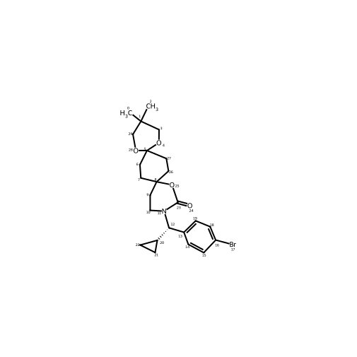 CC1(C)COC2(CCC3(CCN([C@H](c4ccc(Br)cc4)C4CC4)C(=O)O3)CC2)OC1